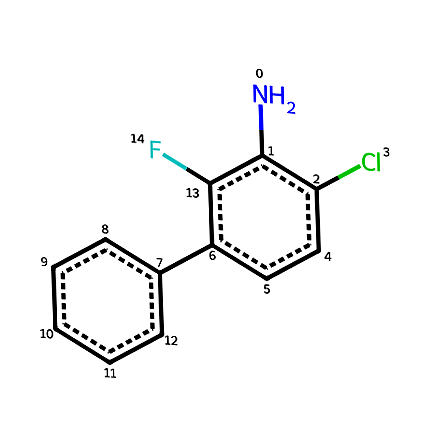 Nc1c(Cl)ccc(-c2ccccc2)c1F